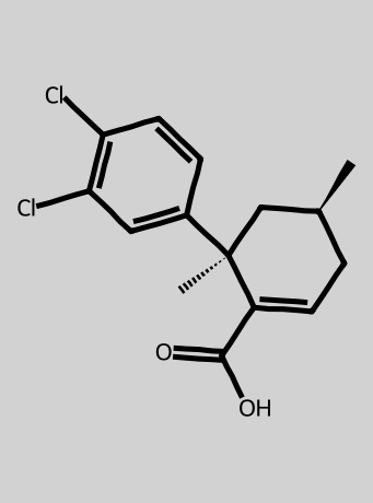 C[C@H]1CC=C(C(=O)O)[C@@](C)(c2ccc(Cl)c(Cl)c2)C1